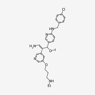 CCNCCCOc1cncc(/C(=C\N)C(OI)c2ccc(NCc3ccc(Cl)cc3)nc2)c1